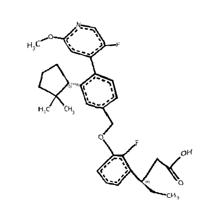 CC[C@H](CC(=O)O)c1cccc(OCc2ccc(-c3cc(OC)ncc3F)c([C@H]3CCCC3(C)C)c2)c1F